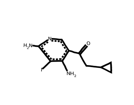 Nc1ncc(C(=O)CC2CC2)c(N)c1I